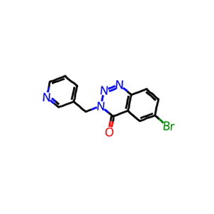 O=c1c2cc(Br)ccc2nnn1Cc1cccnc1